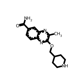 Cc1nc2cc(C(N)=O)ccc2nc1OCC1CCNCC1